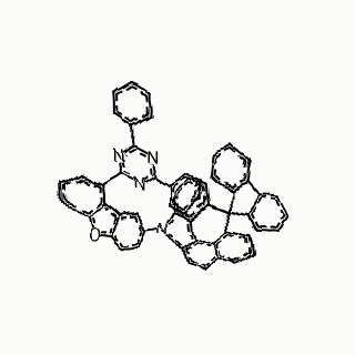 c1ccc(-c2nc(-c3ccccc3)nc(-c3cccc4oc5ccc(-n6c7cccc8c7c7c9c(cccc9ccc76)C86c7ccccc7-c7ccccc76)cc5c34)n2)cc1